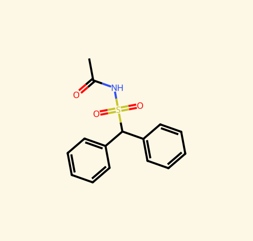 CC(=O)NS(=O)(=O)C(c1ccccc1)c1ccccc1